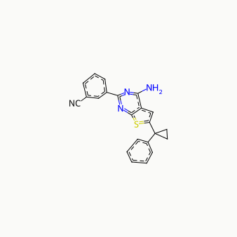 N#Cc1cccc(-c2nc(N)c3cc(C4(c5ccccc5)CC4)sc3n2)c1